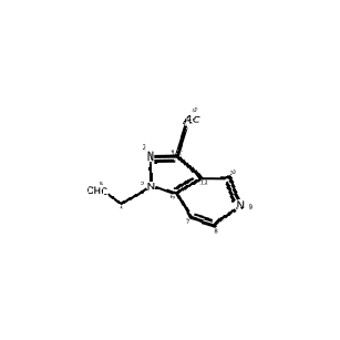 CC(=O)c1nn(CC=O)c2ccncc12